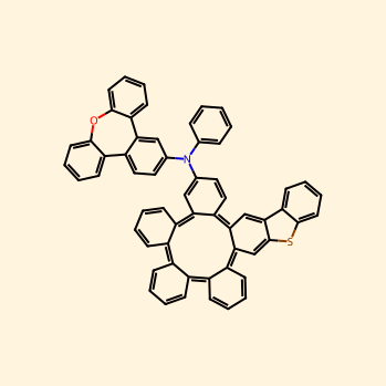 c1ccc(N(c2ccc3c(c2)-c2ccccc2Oc2ccccc2-3)c2ccc3c(c2)c2ccccc2c2ccccc2c2ccccc2c2cc4sc5ccccc5c4cc32)cc1